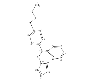 CCCCc1ccc(N(Cn2ccnn2)c2ccccc2)cc1